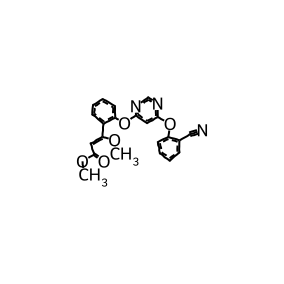 COC(=O)C=C(OC)c1ccccc1Oc1cc(Oc2ccccc2C#N)ncn1